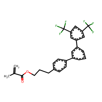 C=C(C)C(=O)OCCCc1ccc(-c2cccc(-c3cc(C(F)(F)F)cc(C(F)(F)F)c3)c2)cc1